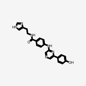 O=C(NCCc1c[nH]cn1)c1ccc(Nc2cncc(-c3ccc(O)cc3)n2)cc1